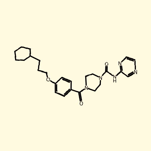 O=C(Nc1cnccn1)N1CCN(C(=O)c2ccc(OCCCC3CCCCC3)cc2)CC1